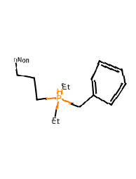 CCCCCCCCCCCC[PH](CC)(CC)Cc1ccccc1